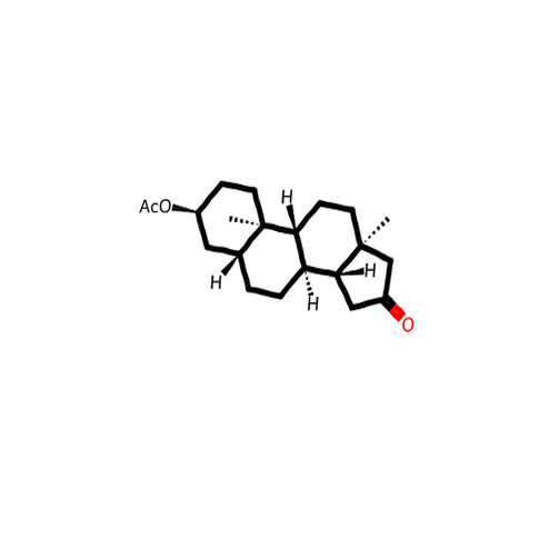 CC(=O)O[C@H]1CC[C@]2(C)[C@H](CC[C@@H]3[C@H]4CC(=O)C[C@]4(C)CC[C@H]32)C1